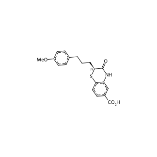 COc1ccc(CCC[C@@H]2Sc3ccc(C(=O)O)cc3NC2=O)cc1